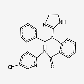 O=C(Nc1ccc(Cl)cn1)c1ccccc1N(Cc1cc[c]cc1)C1=NCCN1